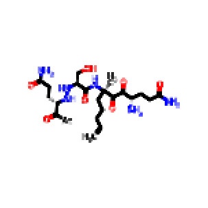 C=CCCC[C@@](C)(NC(=O)[C@H](CO)NN[C@@H](CCC(N)=O)C(=O)C(C)=O)C(=O)C(=O)[C@@H](N)CCC(N)=O